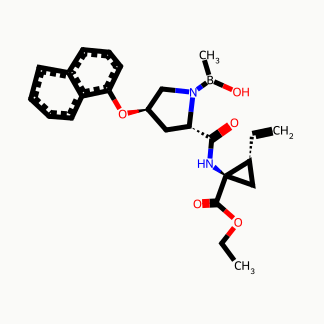 C=C[C@@H]1C[C@]1(NC(=O)[C@@H]1C[C@@H](Oc2cccc3ccccc23)CN1B(C)O)C(=O)OCC